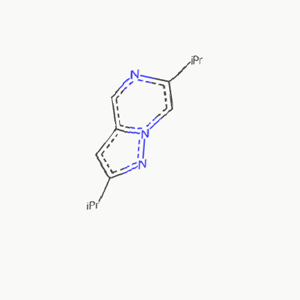 CC(C)c1cn2nc(C(C)C)cc2cn1